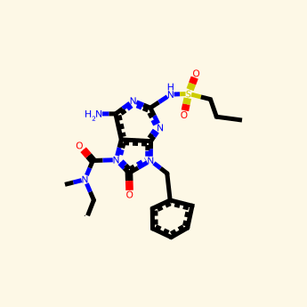 [CH2]CN(C)C(=O)n1c(=O)n(Cc2ccccc2)c2nc(NS(=O)(=O)CCC)nc(N)c21